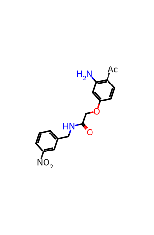 CC(=O)c1ccc(OCC(=O)NCc2cccc([N+](=O)[O-])c2)cc1N